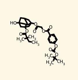 CCC(C)(C)C(=O)OC12CC3CC(O)(CC(OC(=O)COC(=O)c4ccc(OC(=O)OC(C)(C)C)cc4)(C3)C1)C2